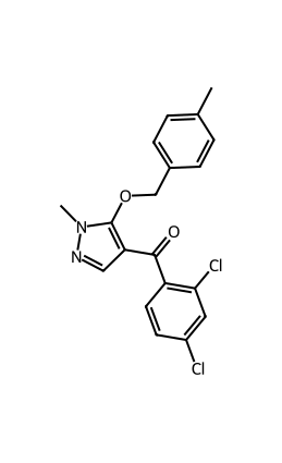 Cc1ccc(COc2c(C(=O)c3ccc(Cl)cc3Cl)cnn2C)cc1